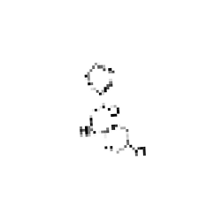 Clc1ccc2c(c1)OC(c1ccccc1)CN2